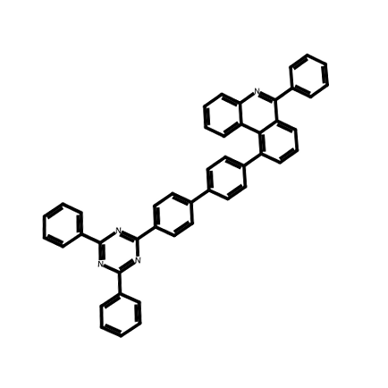 c1ccc(-c2nc(-c3ccccc3)nc(-c3ccc(-c4ccc(-c5cccc6c(-c7ccccc7)nc7ccccc7c56)cc4)cc3)n2)cc1